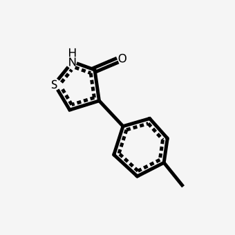 Cc1ccc(-c2cs[nH]c2=O)cc1